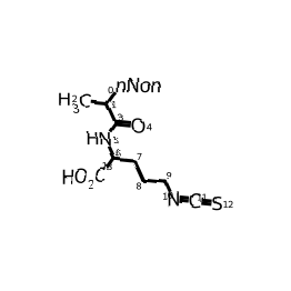 CCCCCCCCCC(C)C(=O)NC(CCCN=C=S)C(=O)O